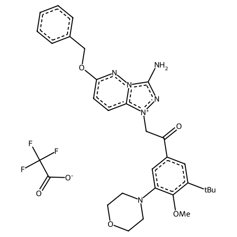 COc1c(N2CCOCC2)cc(C(=O)C[n+]2nc(N)n3nc(OCc4ccccc4)ccc32)cc1C(C)(C)C.O=C([O-])C(F)(F)F